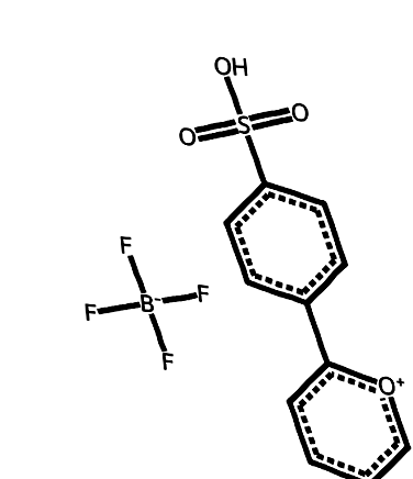 F[B-](F)(F)F.O=S(=O)(O)c1ccc(-c2cccc[o+]2)cc1